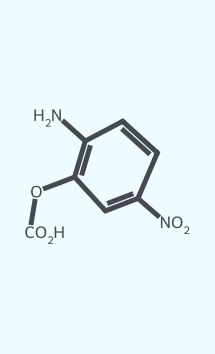 Nc1ccc([N+](=O)[O-])cc1OC(=O)O